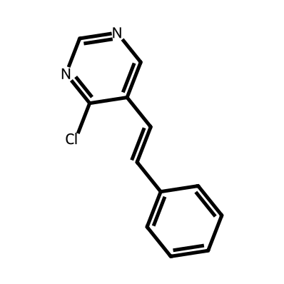 Clc1ncncc1C=Cc1ccccc1